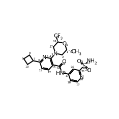 C[C@@H]1CN(c2nc(C3CCC3)ccc2C(=O)Nc2ccnc(S(N)(=O)=O)c2)C[C@@H](C(F)(F)F)O1